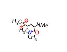 CNC(CCS(C)(=O)=O)C(=O)N(C)C